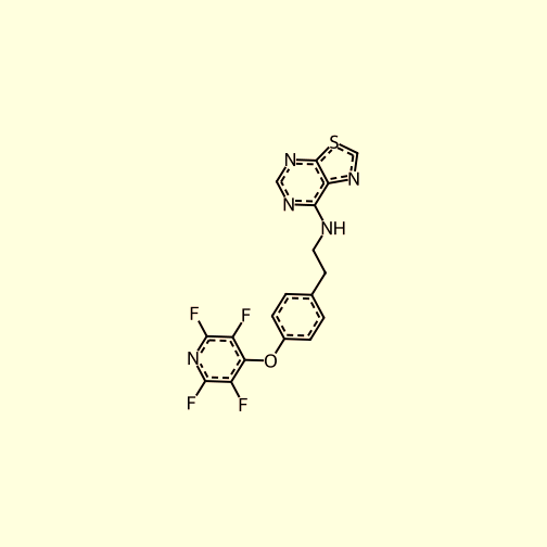 Fc1nc(F)c(F)c(Oc2ccc(CCNc3ncnc4scnc34)cc2)c1F